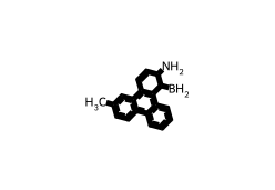 BC1c2c(c3cc(C)ccc3c3ccccc23)C=CC1N